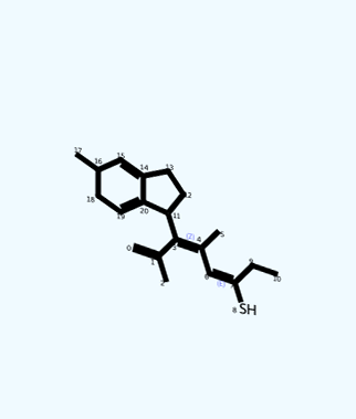 C=C(C)/C(=C(C)\C=C(\S)CC)C1CCC2=CC(C)CC=C21